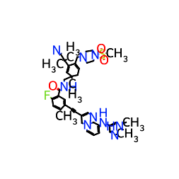 C/N=C\C(=C/NC)NC1=CC=CN2CC(C#Cc3cc(C(=O)NCC4(C)C=C(C(C)(C)C#N)C(CN5CCN(S(C)(=O)=O)CC5)=CC4)c(F)cc3C)=CN=C12